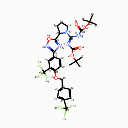 CC(C)(C)OC(=O)/N=C(\NC(=O)OC(C)(C)C)N1CCCC1c1nc(-c2ccc(OCc3ccc(C(F)(F)F)cc3)c(C(F)(F)F)c2)no1